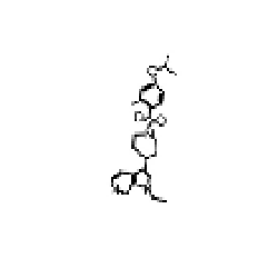 CCn1cc(C2CCN(S(=O)(=O)c3ccc(OC(C)C)cc3C)CC2)c2ccncc21